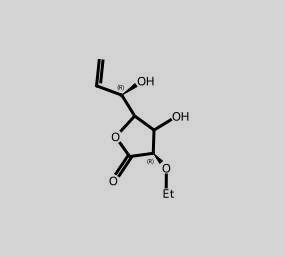 C=C[C@@H](O)C1OC(=O)[C@H](OCC)C1O